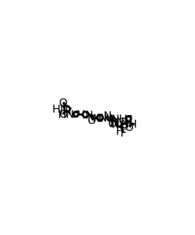 COc1cc(N2CCN(C(=O)CN3CCC(c4ccc(NC5CCC(=O)NC5=O)cc4)CC3)CC2)ncc1Nc1ncc(C(F)(F)F)c(Nc2ccccc2C(C)=O)n1